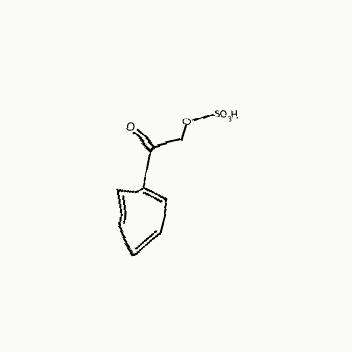 O=C(COS(=O)(=O)O)c1ccccc1